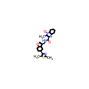 Cc1nc(-c2ccc3occ(CNC(=O)c4nc5ccccc5[n+]([O-])c4C)c3c2)c(C)s1